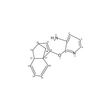 Nc1cccnc1OC1=CC2CC3C=CC=CC13C2